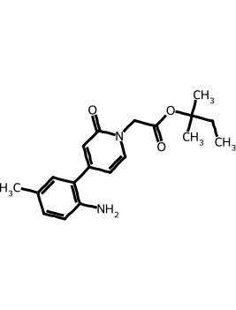 CCC(C)(C)OC(=O)Cn1ccc(-c2cc(C)ccc2N)cc1=O